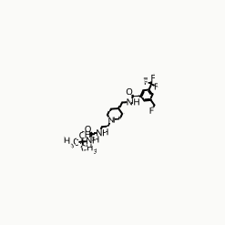 CC(C)(C)NC(=O)NCCN1CCC(CNC(=O)c2cc(CF)cc(C(F)(F)F)c2)CC1